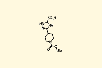 CC(C)(C)OC(=O)N1CCC(C2=NNC(S(=O)(=O)O)N2)CC1